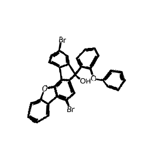 OC1(c2ccccc2Oc2ccccc2)c2cc(Br)ccc2-c2c1cc(Br)c1c2oc2ccccc21